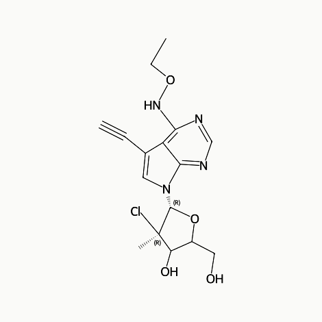 C#Cc1cn([C@@H]2OC(CO)C(O)[C@@]2(C)Cl)c2ncnc(NOCC)c12